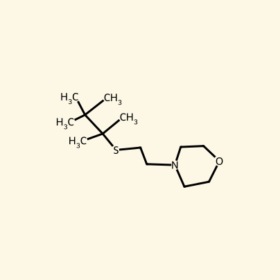 CC(C)(C)C(C)(C)SCCN1CCOCC1